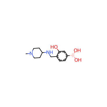 CN1CCC(NCc2ccc(B(O)O)cc2O)CC1